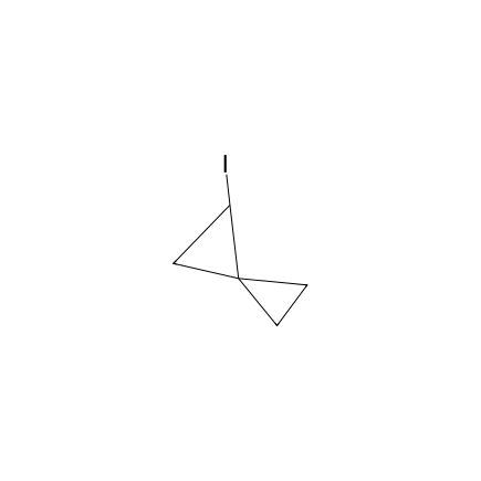 IC1CC12CC2